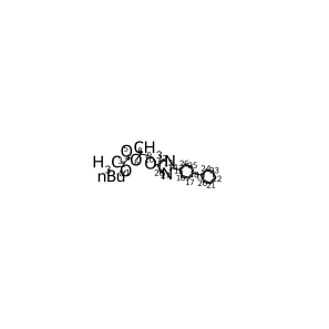 CCCCO[C@@H](C)C(=O)O[C@@H](C)COc1cnc(-c2ccc(-c3ccccc3)cc2)nc1